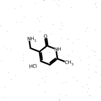 Cc1ccc(CN)c(=O)[nH]1.Cl